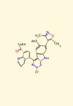 CCc1nc(-c2ccc(C(=O)OC)c3ncccc23)c2c(n1)[nH]c1cc(-c3c(C)noc3C)c(OC)cc12